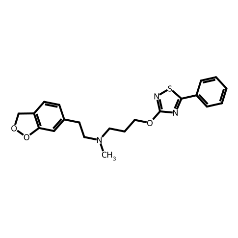 CN(CCCOc1nsc(-c2ccccc2)n1)CCc1ccc2c(c1)OOC2